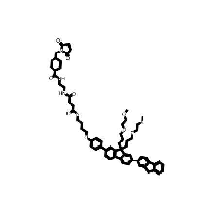 COCCOCCCC1(CCCOCCOC)c2cc(-c3ccc(OCCCCNC(=O)CCC(=O)NCCNC(=O)C4CCC(CN5C(=O)C=CC5=O)CC4)cc3)ccc2-c2ccc(-c3ccc4c(c3)Cc3ccccc3-4)cc21